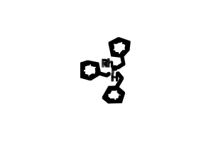 [Rh][PH](Cc1ccccc1)(Cc1ccccc1)Cc1ccccc1